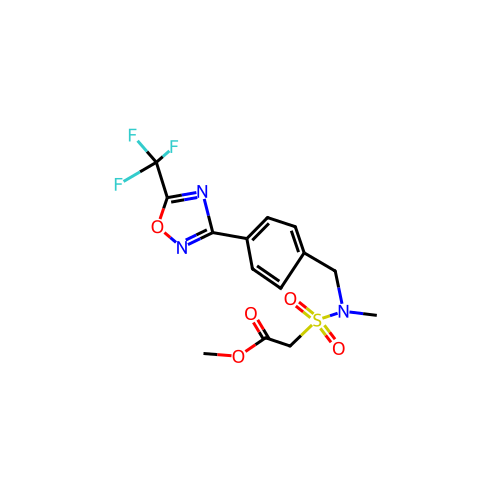 COC(=O)CS(=O)(=O)N(C)Cc1ccc(-c2noc(C(F)(F)F)n2)cc1